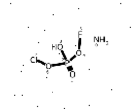 N.O=P(O)(OF)OCl